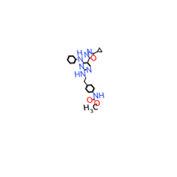 COC(=O)Nc1ccc(CCNc2ncc(-c3nnc(C4CC4)o3)c(Nc3ccccc3)n2)cc1